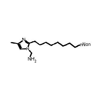 CCCCCCCCCCCCCCCCCc1nc(C)cn1CN